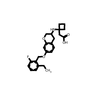 CCc1cccc(F)c1COc1ccc2c(c1)OCC(NC1(CC(=O)O)CCC1)C2